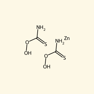 NC(=S)OO.NC(=S)OO.[Zn]